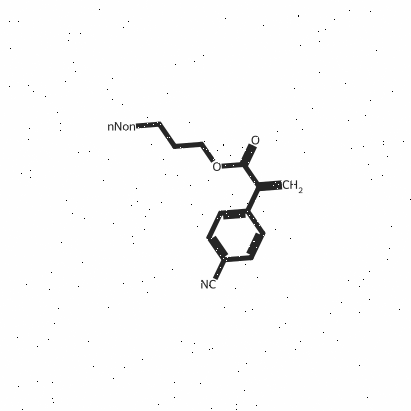 C=C(C(=O)OCCCCCCCCCCCC)c1ccc(C#N)cc1